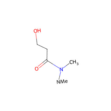 CNN(C)C(=O)CCO